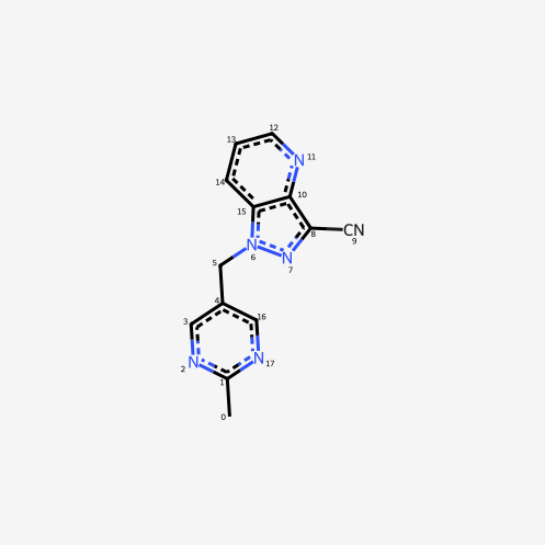 Cc1ncc(Cn2nc(C#N)c3ncccc32)cn1